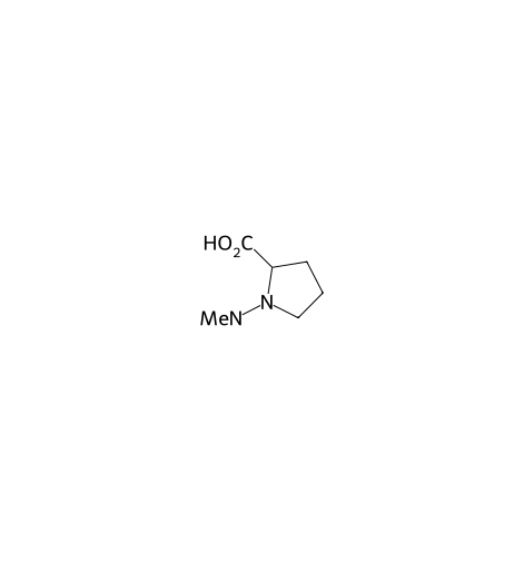 CNN1CCCC1C(=O)O